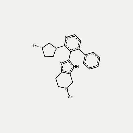 CC(=O)N1CCc2nc(-c3c(-c4ccccc4)ccnc3N3CC[C@H](F)C3)[nH]c2C1